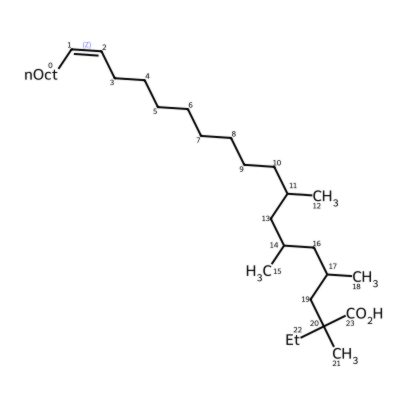 CCCCCCCC/C=C\CCCCCCCCC(C)CC(C)CC(C)CC(C)(CC)C(=O)O